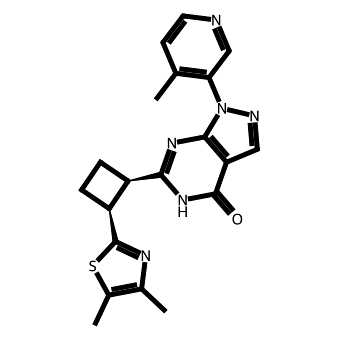 Cc1ccncc1-n1ncc2c(=O)[nH]c([C@@H]3CC[C@@H]3c3nc(C)c(C)s3)nc21